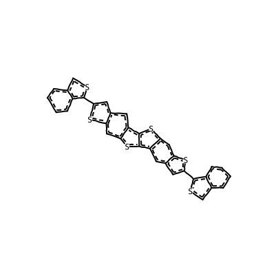 c1ccc2c(-c3cc4cc5c(cc4s3)sc3c4cc6cc(-c7scc8ccccc78)sc6cc4sc53)scc2c1